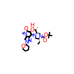 CC[C@@H]1CN(c2cc(=O)n(C)c3cn(C4CCCCO4)nc23)[C@@H]([C@@H](C)O)CN1C(=O)OC(C)(C)C